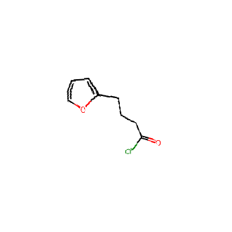 O=C(Cl)CCCc1ccco1